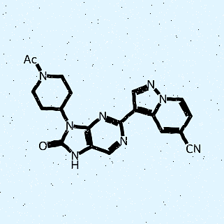 CC(=O)N1CCC(n2c(=O)[nH]c3cnc(-c4cnn5ccc(C#N)cc45)nc32)CC1